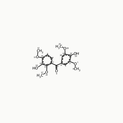 COc1cc(C(=O)c2ccc(OC)c(O)c2OC)cc(OC)c1O